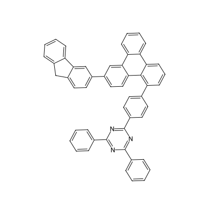 c1ccc(-c2nc(-c3ccccc3)nc(-c3ccc(-c4cccc5c6ccccc6c6cc(-c7ccc8c(c7)-c7ccccc7C8)ccc6c45)cc3)n2)cc1